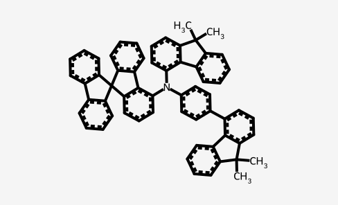 CC1(C)c2ccccc2-c2c(-c3ccc(N(c4cccc5c4-c4ccccc4C5(C)C)c4cccc5c4-c4ccccc4C54c5ccccc5-c5ccccc54)cc3)cccc21